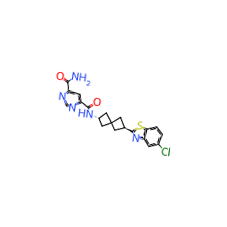 NC(=O)c1cc(C(=O)N[C@H]2CC3(C2)C[C@H](c2nc4cc(Cl)ccc4s2)C3)ncn1